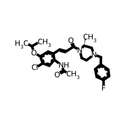 CC(=O)Nc1cc(Cl)c(OC(C)C)cc1C=CC(=O)N1CCN(Cc2ccc(F)cc2)C[C@H]1C